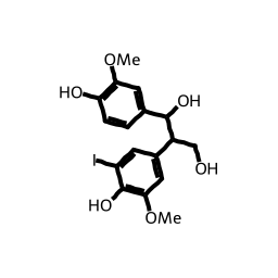 COc1cc(C(O)C(CO)c2cc(I)c(O)c(OC)c2)ccc1O